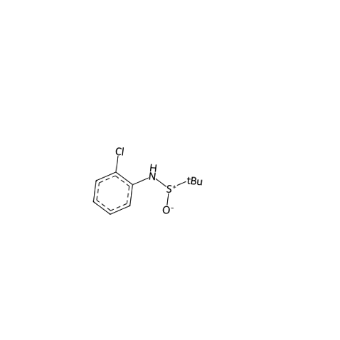 CC(C)(C)[S+]([O-])Nc1ccccc1Cl